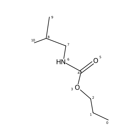 CCCOC(=O)NCC(C)C